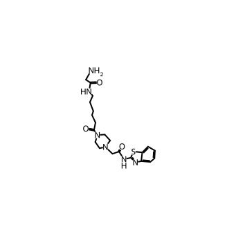 NCC(=O)NCCCCCC(=O)N1CCN(CC(=O)Nc2nc3ccccc3s2)CC1